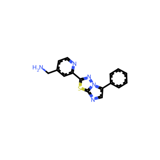 NCc1ccnc(-c2nn3c(-c4ccccc4)cnc3s2)c1